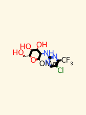 CO[C@H]1O[C@H](CO)[C@H](O)[C@H](O)[C@H]1Nc1ncc(Cl)c(C(F)(F)F)n1